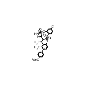 COc1ccc(-c2ccc(F)c(C(C)C(NS(=O)(=O)c3ccc(Cl)cc3OC)c3n[nH]c(=O)o3)c2C)cc1